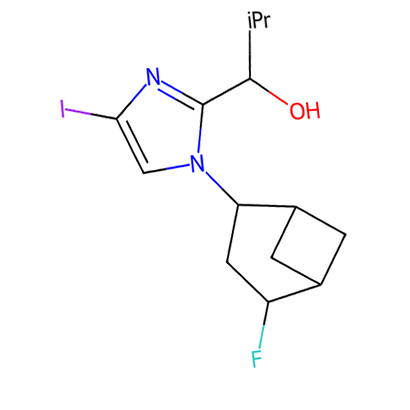 CC(C)C(O)c1nc(I)cn1C1CC(F)C2CC1C2